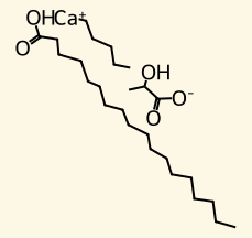 CC(O)C(=O)[O-].CCCCCCCCCCCCCCCCCC(=O)O.CCCC[CH2][Ca+]